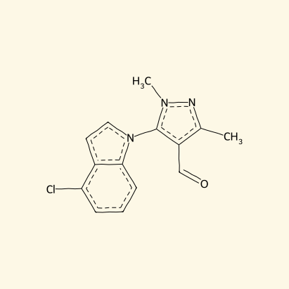 Cc1nn(C)c(-n2ccc3c(Cl)cccc32)c1C=O